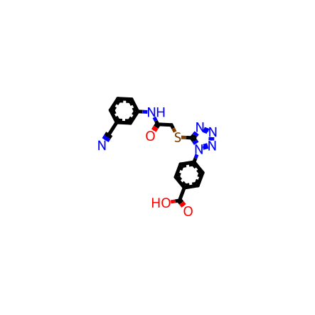 N#Cc1cccc(NC(=O)CSc2nnnn2-c2ccc(C(=O)O)cc2)c1